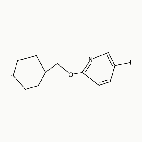 Ic1ccc(OCC2CC[CH]CC2)nc1